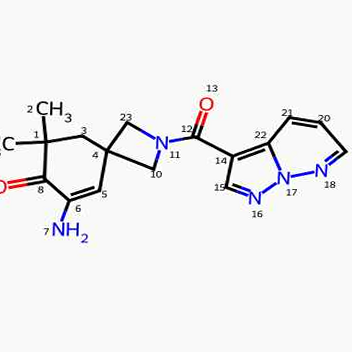 CC1(C)CC2(C=C(N)C1=O)CN(C(=O)c1cnn3ncccc13)C2